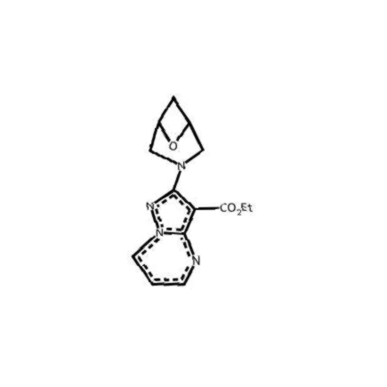 CCOC(=O)c1c(N2CC3CC(C2)O3)nn2cccnc12